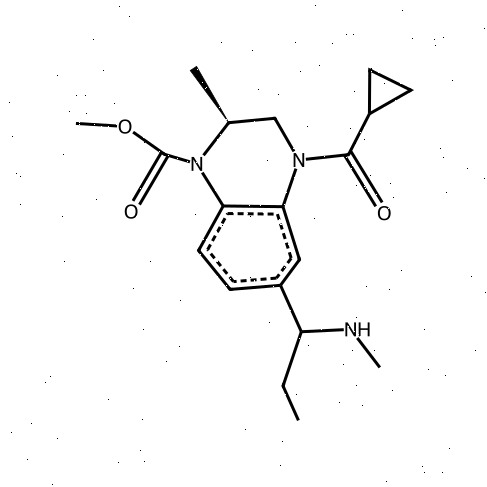 CCC(NC)c1ccc2c(c1)N(C(=O)C1CC1)C[C@H](C)N2C(=O)OC